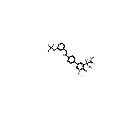 Cn1cc(-c2ccc(NCc3cccc(OC(F)(F)F)c3)nc2)cc(C(C)(C)C(=O)O)c1=O